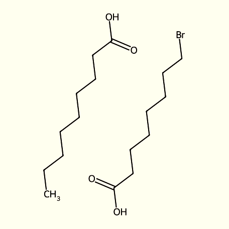 CCCCCCCCC(=O)O.O=C(O)CCCCCCCBr